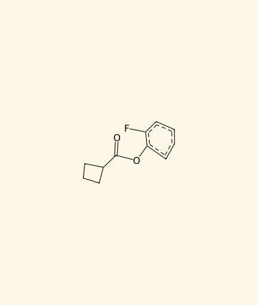 O=C(Oc1ccccc1F)C1CCC1